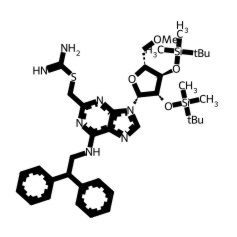 COC[C@H]1O[C@@H](n2cnc3c(NCC(c4ccccc4)c4ccccc4)nc(CSC(=N)N)nc32)[C@@H](O[Si](C)(C)C(C)(C)C)[C@@H]1O[Si](C)(C)C(C)(C)C